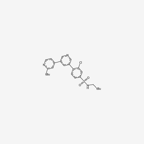 CC(C)(C)CNS(=O)(=O)c1ccc(-c2cncc(-c3ccnc(C(C)(C)C)c3)c2)c(Cl)c1